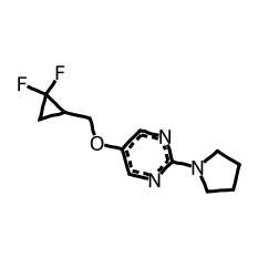 FC1(F)CC1COc1cnc(N2CCCC2)nc1